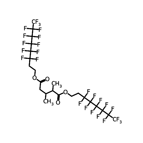 CC(CC(=O)OCCC(F)(F)C(F)(F)C(F)(F)C(F)(F)C(F)(F)C(F)(F)F)C(C)C(=O)OCCC(F)(F)C(F)(F)C(F)(F)C(F)(F)C(F)(F)C(F)(F)F